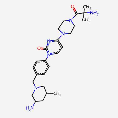 CC1CC(N)CN(Cc2ccc(-n3ccc(N4CCN(C(=O)C(C)(C)N)CC4)nc3=O)cc2)C1